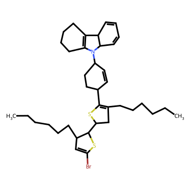 CCCCCCC1=C(C2C=CC(N3C4=C(CCCC4)C4C=CC=CC43)CC2)SC(C2SC(Br)=CC2CCCCCC)C1